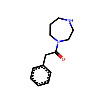 O=C(Cc1ccccc1)N1CCCNCC1